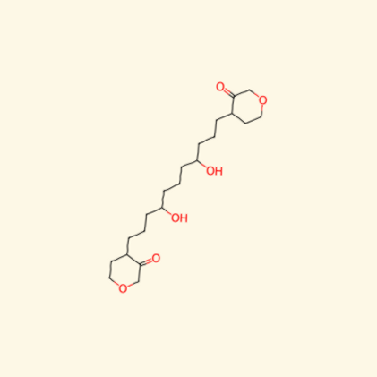 O=C1COCCC1CCCC(O)CCCC(O)CCCC1CCOCC1=O